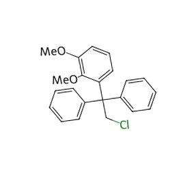 COc1cccc(C(CCl)(c2ccccc2)c2ccccc2)c1OC